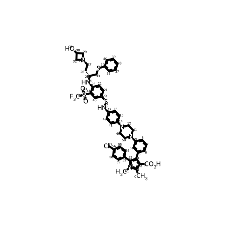 Cc1c(C(=O)O)c(-c2cccc(N3CCN(c4ccc(NSc5ccc(N[C@H](CCN6CC(O)C6)CSc6ccccc6)c(S(=O)(=O)C(F)(F)F)c5)cc4)CC3)c2)c(-c2ccc(Cl)cc2)n1C